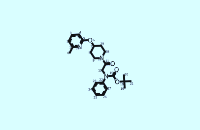 Cc1cccc(OC2CCN(C(=O)CN(C(=O)OC(C)(C)C)c3ccccc3)CC2)n1